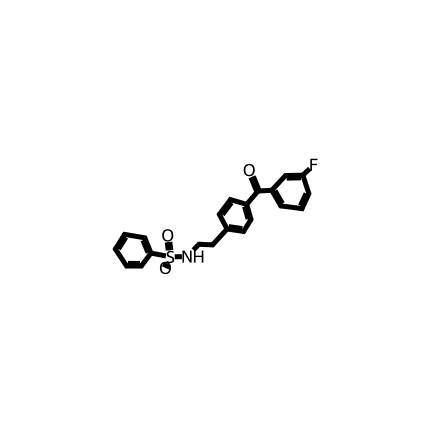 O=C(c1ccc(CCNS(=O)(=O)c2ccccc2)cc1)c1cccc(F)c1